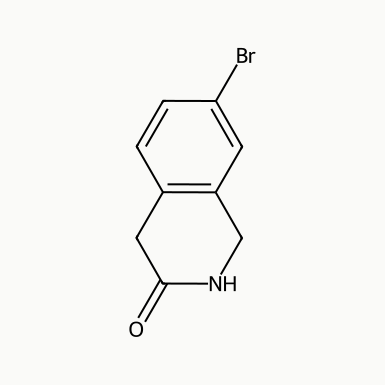 O=C1Cc2ccc(Br)cc2CN1